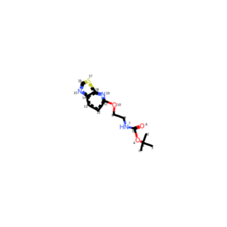 CC(C)(C)OC(=O)NCCOc1ccc2n[c]sc2n1